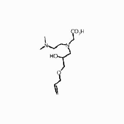 C=CCOCC(O)CN(CCN(C)C)CC(=O)O